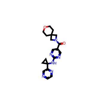 O=C(c1cnc(NC2(c3cnccn3)CC2)nc1)N1CC2(CCOCC2)C1